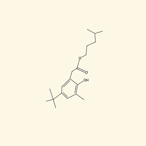 Cc1cc(C(C)(C)C)cc(CC(=O)OCCCC(C)C)c1O